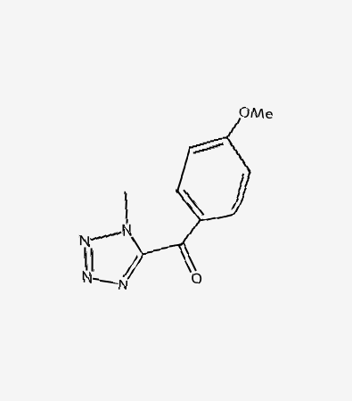 COc1ccc(C(=O)c2nnnn2C)cc1